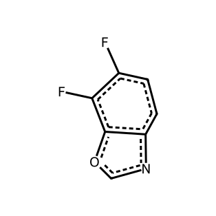 Fc1ccc2ncoc2c1F